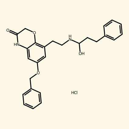 Cl.O=C1COc2c(CCNC(O)CCc3ccccc3)cc(OCc3ccccc3)cc2N1